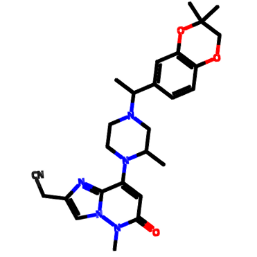 CC(c1ccc2c(c1)OC(C)(C)CO2)N1CCN(c2cc(=O)n(C)n3cc(CC#N)nc23)C(C)C1